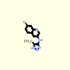 CCOC(=O)c1[nH]nnc1Nc1cnc2cc(Cl)ccc2c1